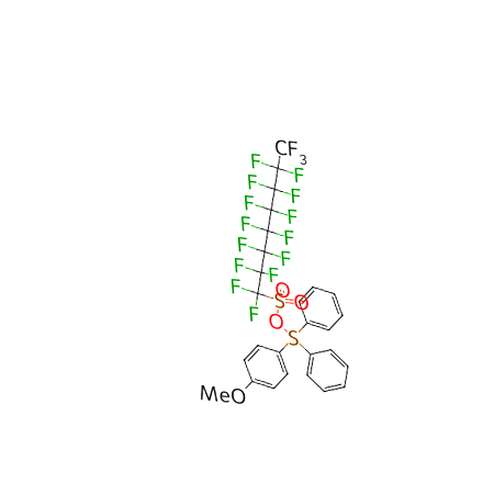 COc1ccc(S(OS(=O)(=O)C(F)(F)C(F)(F)C(F)(F)C(F)(F)C(F)(F)C(F)(F)C(F)(F)C(F)(F)F)(c2ccccc2)c2ccccc2)cc1